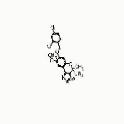 COc1cc2c(cc1OCc1ccc(Cl)cc1Cl)OC(C)(C)c1[se]nnc1-2